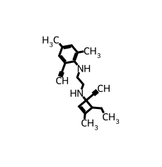 C#Cc1cc(C)cc(C)c1NCCNC1(C#C)C=C(C)C1CC